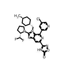 C[C@H]1CC[C@H](Cn2c(N3CCC[C@H]3C(F)F)nc3cc(-c4noc(=O)[nH]4)nc(-c4cncc(Cl)c4)c32)CC1